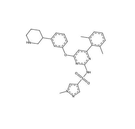 Cc1cccc(C)c1-c1cc(Oc2cccc(C3CCCNC3)c2)nc(NS(=O)(=O)c2cnn(C)c2)n1